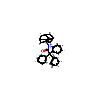 O=C(NC12CC3CC(CC(C3)C1)C2)C(c1ccccc1)(c1ccccc1)c1ccccc1